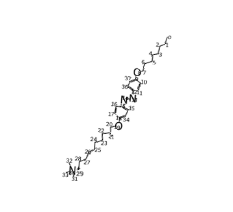 CCCCCCCCOc1ccc(N=Nc2ccc(OCCCCCCCCCC[N+](C)(C)C)cc2)cc1